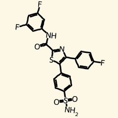 NS(=O)(=O)c1ccc(-c2sc(C(=O)Nc3cc(F)cc(F)c3)nc2-c2ccc(F)cc2)cc1